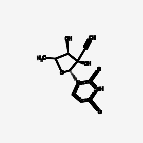 C#C[C@@]1(O)[C@H](O)C(C)O[C@H]1n1ccc(=O)[nH]c1=O